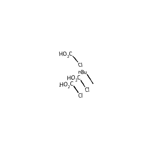 CCCCC.O=C(O)Cl.O=C(O)Cl.O=C(O)Cl